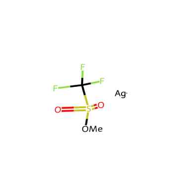 COS(=O)(=O)C(F)(F)F.[Ag]